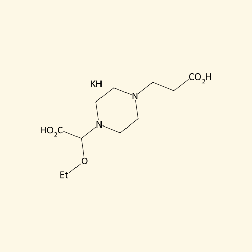 CCOC(C(=O)O)N1CCN(CCC(=O)O)CC1.[KH]